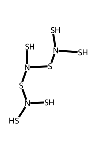 SN(S)SN(S)SN(S)S